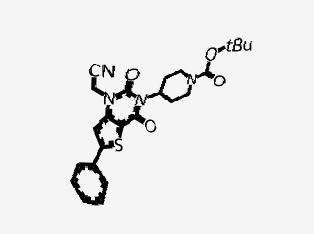 CC(C)(C)OC(=O)N1CCC(n2c(=O)c3sc(-c4ccccc4)cc3n(CC#N)c2=O)CC1